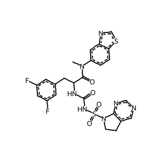 CN(C(=O)C(Cc1cc(F)cc(F)c1)NC(=O)NS(=O)(=O)N1CCc2cncnc21)c1ccc2scnc2c1